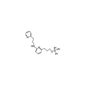 CC(C)[Si](OCCCc1cccc(NCCCc2ccccn2)n1)(C(C)C)C(C)C